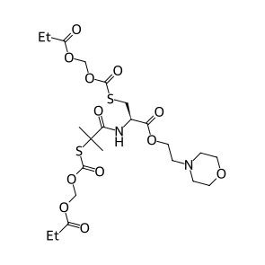 CCC(=O)OCOC(=O)SC[C@H](NC(=O)C(C)(C)SC(=O)OCOC(=O)CC)C(=O)OCCN1CCOCC1